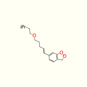 CC(C)CCOCCCC=Cc1ccc2c(c1)OOC2